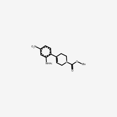 CC(=O)Nc1cc([N+](=O)[O-])ccc1C1=CCN(C(=O)OC(C)(C)C)CC1